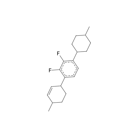 CC1C=CC(c2ccc(C3CCC(C)CC3)c(F)c2F)CC1